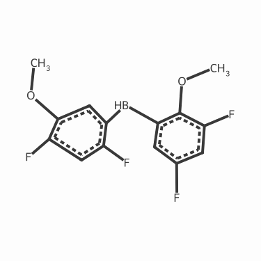 COc1cc(Bc2cc(F)cc(F)c2OC)c(F)cc1F